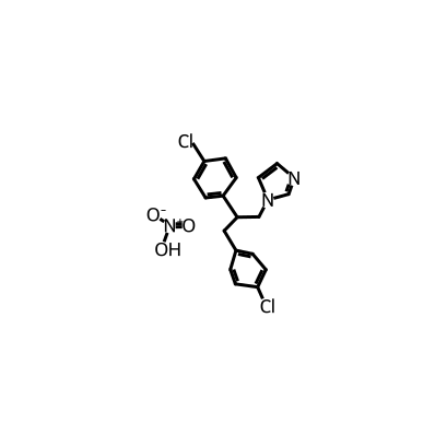 Clc1ccc(CC(Cn2ccnc2)c2ccc(Cl)cc2)cc1.O=[N+]([O-])O